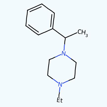 CCN1CCN(C(C)c2ccccc2)CC1